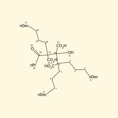 CCCCCCCCCCCCCC(CCCCCCCCCCCCC)(C(=O)O)C(O)(C(=O)O)C(CCCCCCCCCCCCC)(C(=O)O)C(=O)CCC